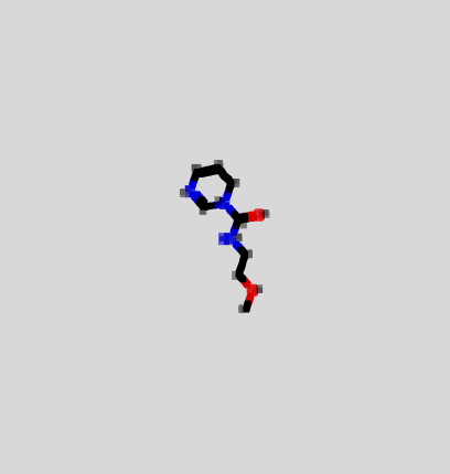 COCCNC(=O)N1C=NC=CC1